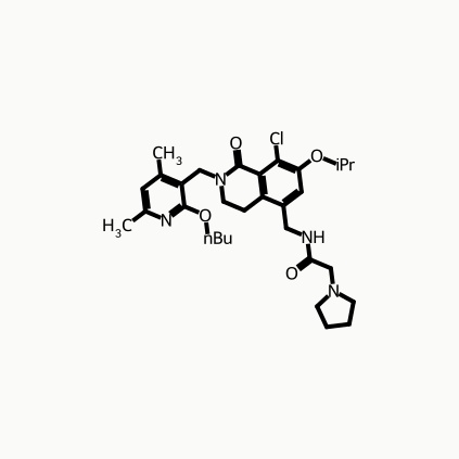 CCCCOc1nc(C)cc(C)c1CN1CCc2c(CNC(=O)CN3CCCC3)cc(OC(C)C)c(Cl)c2C1=O